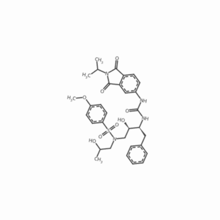 COc1ccc(S(=O)(=O)N(CC(C)O)C[C@@H](O)[C@H](Cc2ccccc2)NC(=O)Nc2ccc3c(c2)C(=O)N(C(C)C)C3=O)cc1